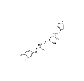 Cc1ccc(CNC(=O)CC(O)CCNC(=O)COc2ccc(Cl)c(F)c2)nc1